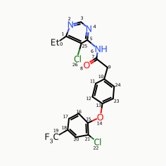 CCc1ncnc(NC(=O)Cc2ccc(Oc3ccc(C(F)(F)F)cc3Cl)cc2)c1Cl